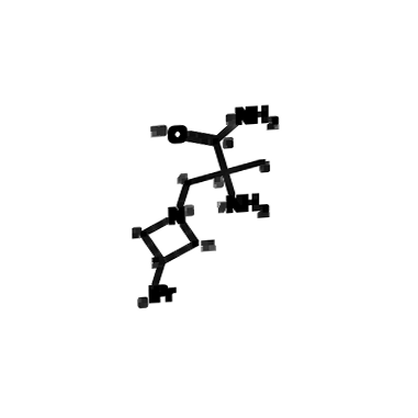 CC(C)C1CN(CC(C)(N)C(N)=O)C1